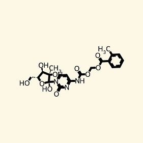 Cc1ccccc1C(=O)OCOC(=O)Nc1ccn([C@]2(O)O[C@H](CO)[C@@H](O)[C@@]2(C)O)c(=O)n1